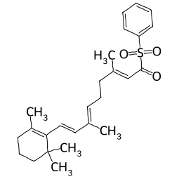 CC(C=CC1=C(C)CCCC1(C)C)=CCCC(C)=CC(=O)S(=O)(=O)c1ccccc1